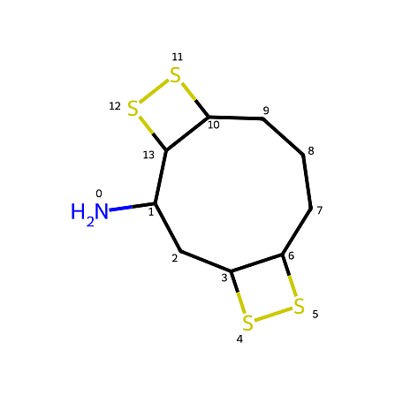 NC1CC2SSC2CCCC2SSC12